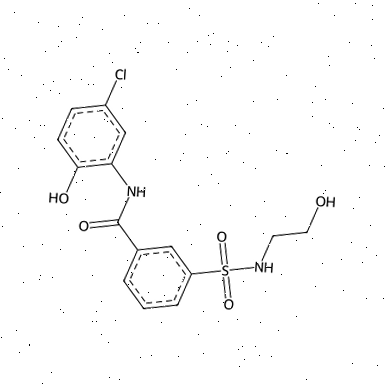 O=C(Nc1cc(Cl)ccc1O)c1cccc(S(=O)(=O)NCCO)c1